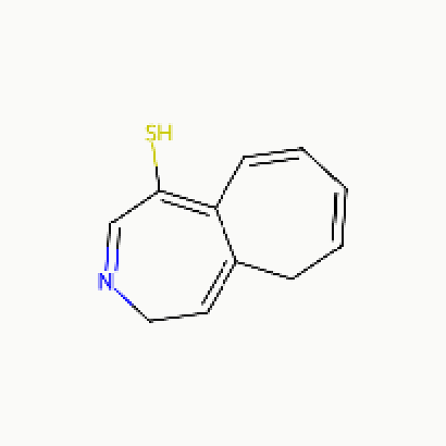 SC1=C2C=CC=CCC2=CCN=C1